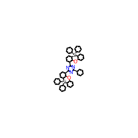 c1ccc(-c2nc(-c3cccc4c3Oc3ccccc3[Si]4(c3ccccc3)c3ccccc3)nc(-c3cccc4c3Oc3ccccc3[Si]4(c3ccccc3)c3ccccc3)n2)cc1